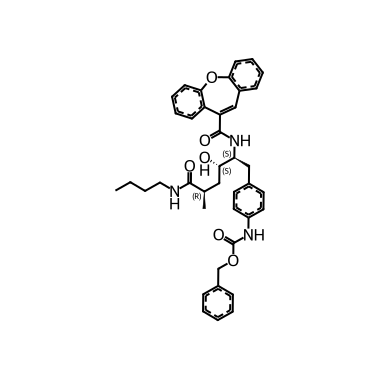 CCCCNC(=O)[C@H](C)C[C@H](O)[C@H](Cc1ccc(NC(=O)OCc2ccccc2)cc1)NC(=O)C1=Cc2ccccc2Oc2ccccc21